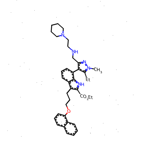 CCOC(=O)c1[nH]c2c(-c3c(CNCCN4CCCCC4)nn(C)c3CC)cccc2c1CCCOc1cccc2ccccc12